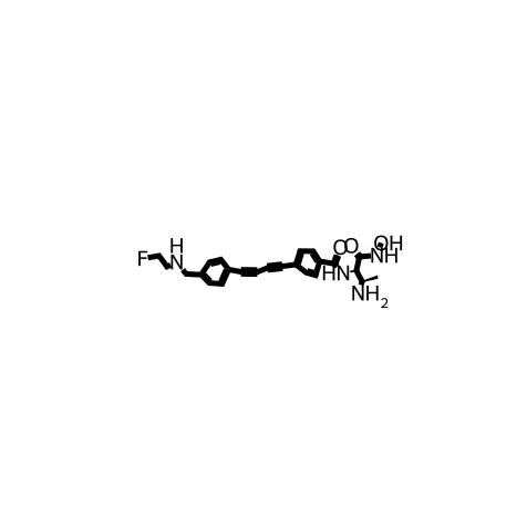 C[C@@H](N)[C@H](NC(=O)c1ccc(C#CC#Cc2ccc(CNCCF)cc2)cc1)C(=O)NO